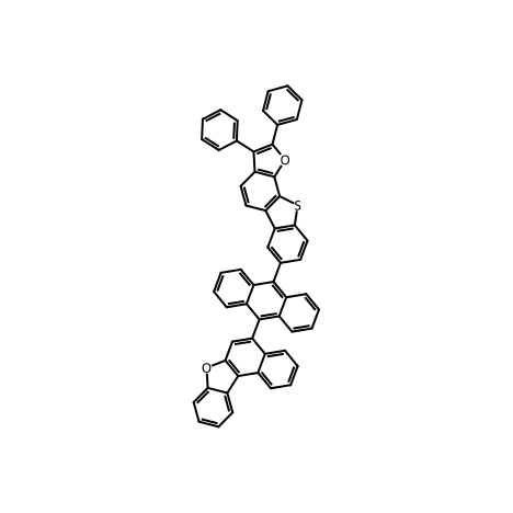 c1ccc(-c2oc3c(ccc4c5cc(-c6c7ccccc7c(-c7cc8oc9ccccc9c8c8ccccc78)c7ccccc67)ccc5sc43)c2-c2ccccc2)cc1